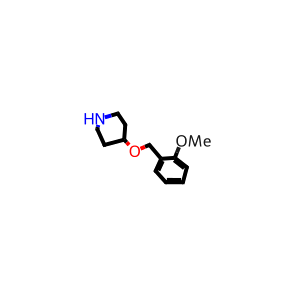 COc1ccccc1COC1CCNCC1